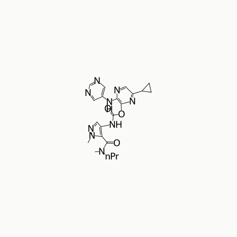 CCCN(C)C(=O)c1c(NC(=O)Oc2nc(C3CC3)cnc2Nc2cncnc2)cnn1C